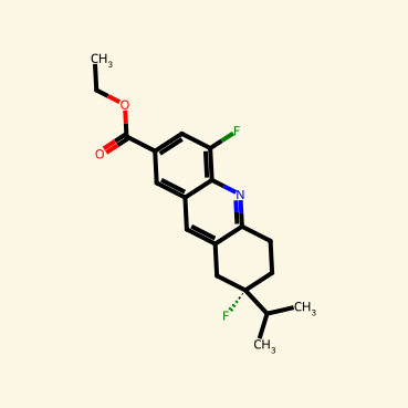 CCOC(=O)c1cc(F)c2nc3c(cc2c1)C[C@](F)(C(C)C)CC3